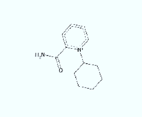 NC(=O)c1cccc[n+]1C1CCCCC1